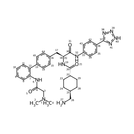 CN(C)CC(=O)Nc1ccccc1-c1ccc(C[C@H](NC(=O)[C@H]2CC[C@H](CN)CC2)C(=O)Nc2ccc(-c3nn[nH]n3)cc2)cc1